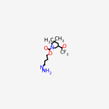 CC1(C)CC(C(=O)C(F)(F)F)CN(C(=O)OCCCC=NN)C1